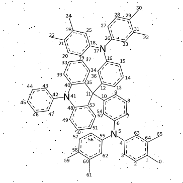 Cc1ccc(N(c2cccc(C3(c4cccc(N(c5ccc(C)c(C)c5)c5ccc(C)c(C)c5)c4)c4ccccc4N(c4ccccc4)c4ccccc43)c2)c2ccc(C)c(C)c2)cc1C